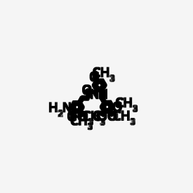 COc1ccc(C=Cc2cc(OC)c(OC)c(OC)c2)c(NC(=O)/C=C/c2cc(N)c(OC)c(OC)c2)c1